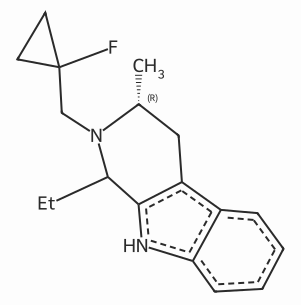 CCC1c2[nH]c3ccccc3c2C[C@@H](C)N1CC1(F)CC1